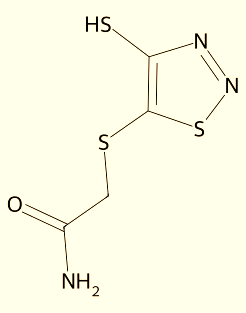 NC(=O)CSc1snnc1S